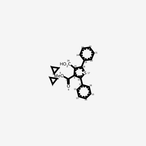 C1CC1.C1CC1.COC(=O)c1c(-c2ccccc2)sc(-c2ccccc2)c1C(=O)O